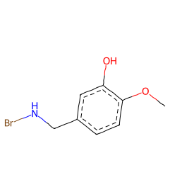 COc1ccc(CNBr)cc1O